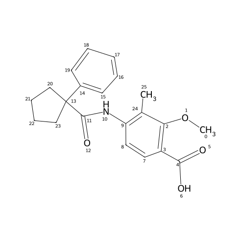 COc1c(C(=O)O)ccc(NC(=O)C2(c3ccccc3)CCCC2)c1C